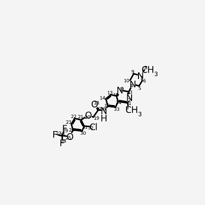 Cc1nc(N2CCN(C)CC2)nc2ccc(NC(=O)COc3ccc(OC(F)(F)F)cc3Cl)cc12